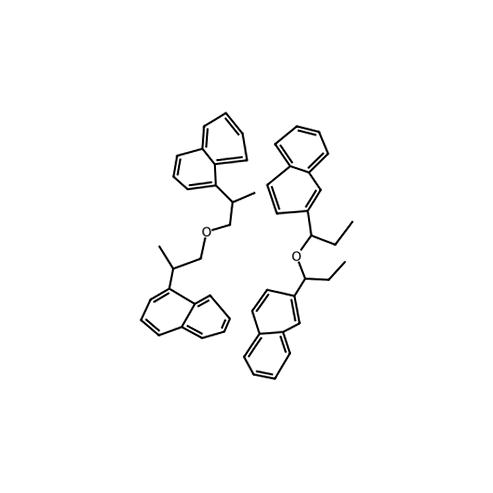 CC(COCC(C)c1cccc2ccccc12)c1cccc2ccccc12.CCC(OC(CC)c1ccc2ccccc2c1)c1ccc2ccccc2c1